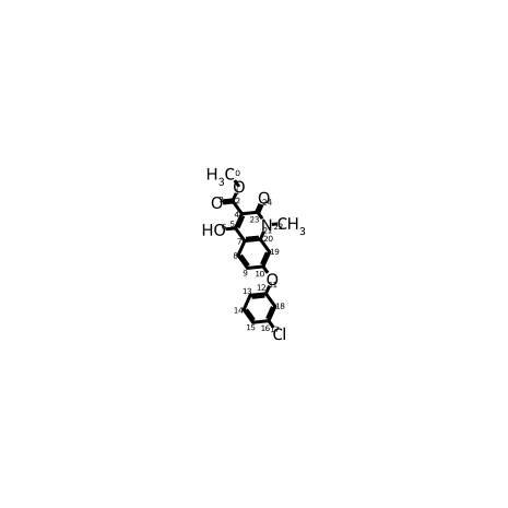 COC(=O)c1c(O)c2ccc(Oc3cccc(Cl)c3)cc2n(C)c1=O